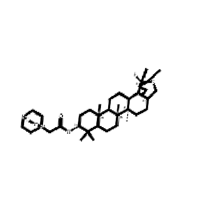 CC1(C)CC[C@]23CC[C@]4(C)C(CCC5[C@@]6(C)CC[C@H](OC(=O)C[N+]78CCN(CC7)CC8)C(C)(C)C6CC[C@]54C)C2[C@H]1OC3